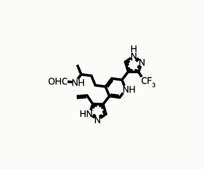 C=Cc1[nH]ncc1C1=CNC(c2c[nH]nc2C(F)(F)F)C=C1CCC(C)NC=O